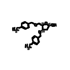 Cc1ccc(COC[C@H]2O[C@H](O)C[C@@H]2OCc2ccc(C)cc2)cc1